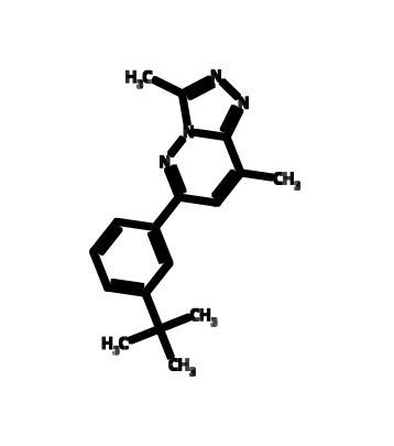 Cc1cc(-c2cccc(C(C)(C)C)c2)nn2c(C)nnc12